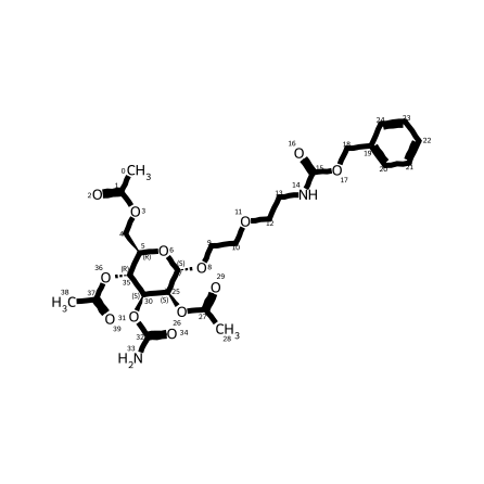 CC(=O)OC[C@H]1O[C@H](OCCOCCNC(=O)OCc2ccccc2)[C@@H](OC(C)=O)[C@@H](OC(N)=O)[C@@H]1OC(C)=O